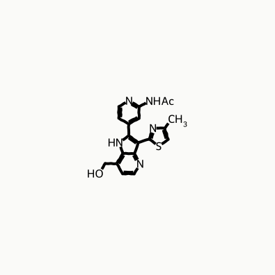 CC(=O)Nc1cc(-c2[nH]c3c(CO)ccnc3c2-c2nc(C)cs2)ccn1